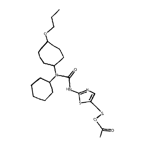 CCCOC1CCC(N(C(=O)Nc2ncc(SOC(C)=O)s2)C2CCCCC2)CC1